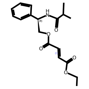 CCOC(=O)/C=C/C(=O)OC[C@H](NC(=O)C(C)C)c1ccccc1